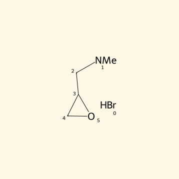 Br.CNCC1CO1